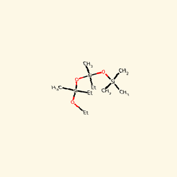 CCO[Si](C)(CC)O[Si](C)(CC)O[Si](C)(C)C